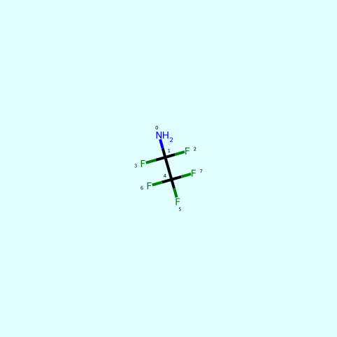 NC(F)(F)C(F)(F)F